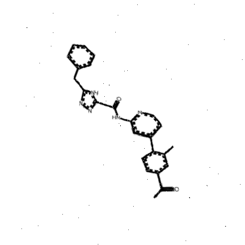 CC(=O)c1ccc(-c2ccnc(NC(=O)c3nnc(Cc4ccccc4)[nH]3)c2)c(C)c1